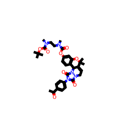 CC(=O)c1ccc(-n2c(=O)n3n(c2=O)C2C(=CC3)C(C)(C)Oc3cc(OC(=O)N(C)CCN(C)C(=O)OC(C)(C)C)ccc32)cc1